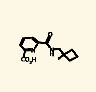 CC1(CNC(=O)c2cccc(C(=O)O)n2)CCC1